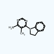 Cc1c(N)ncnc1N1CCc2ccccc21